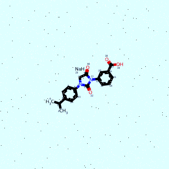 CC(C)c1ccc(N2CC(=O)N(c3cccc(C(=O)O)c3)C2=O)cc1.[NaH]